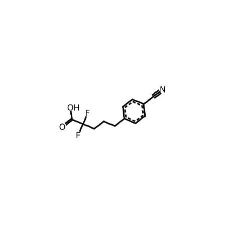 N#Cc1ccc(CCCC(F)(F)C(=O)O)cc1